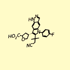 CC(C)(CC#N)c1c([C@@H]2CO[C@@H](C(=O)O)C2)c2cc3[nH]ncc3cc2n1-c1ccc(F)cc1